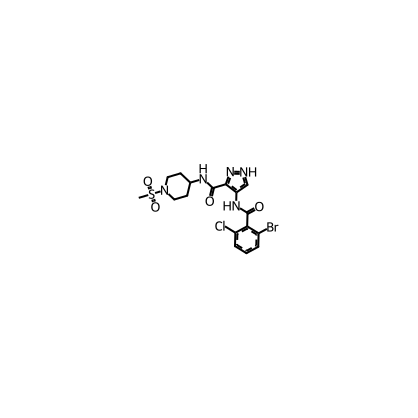 CS(=O)(=O)N1CCC(NC(=O)c2n[nH]cc2NC(=O)c2c(Cl)cccc2Br)CC1